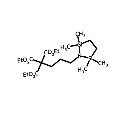 CCOC(=O)C(CCCN1[Si](C)(C)CC[Si]1(C)C)(C(=O)OCC)C(=O)OCC